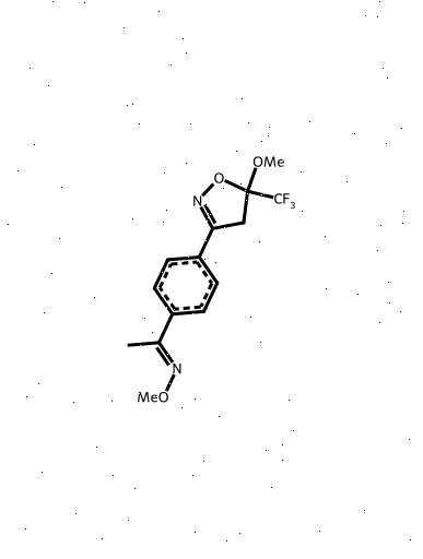 CON=C(C)c1ccc(C2=NOC(OC)(C(F)(F)F)C2)cc1